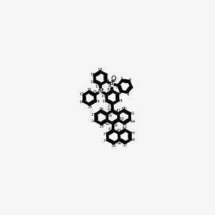 O=P1(c2ccccc2)c2ccccc2N(c2ccccc2)c2cc(-c3c4ccccc4c(-c4cccc5ccccc45)c4ccccc34)ccc21